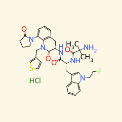 CC(C)(N)C(=O)N[C@H](Cc1cn(CCF)c2ccccc12)C(=O)NC1Cc2cccc(N3CCCC3=O)c2N(Cc2ccsc2)C1=O.Cl